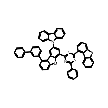 c1ccc(-c2cccc(-c3cccc4oc5c(-c6nc(-c7ccccc7)nc(-c7cccc8sc9ccccc9c78)n6)cc(-n6c7ccccc7c7ccccc76)cc5c34)c2)cc1